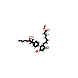 CCCCCC(O)C(C)(C)c1ccc([C@@H]2[C@@H](C/C=C\CCCC(=O)OC)[C@H](Cl)C[C@H]2O)cc1